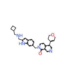 O=c1c2cncc(C3=CCOCC3)c2ccn1Cc1ccc2cc(CNCC3CCC3)[nH]c2c1